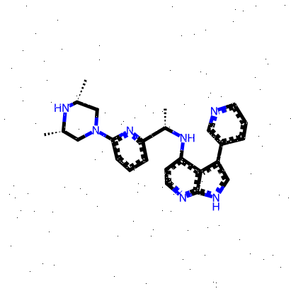 C[C@@H]1CN(c2cccc([C@H](C)Nc3ccnc4[nH]cc(-c5cccnc5)c34)n2)C[C@H](C)N1